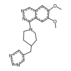 COc1cc2cnnc(N3CCC(Cc4cncnc4)CC3)c2cc1OC